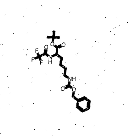 CC(C)(C)OC(=O)C(CCCCNC(=O)OCc1ccccc1)NC(=O)C(F)(F)F